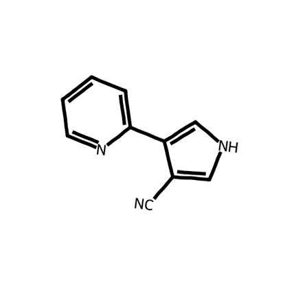 N#Cc1c[nH]cc1-c1ccccn1